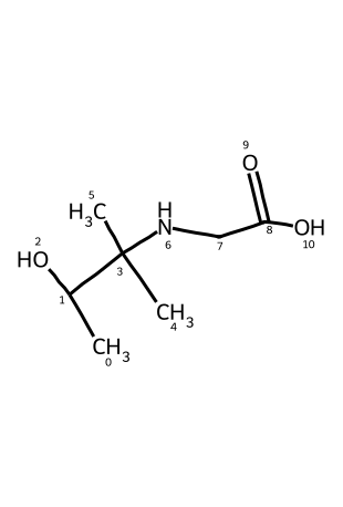 CC(O)C(C)(C)NCC(=O)O